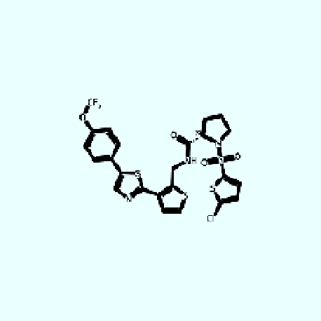 O=C(NCc1sccc1-c1ncc(-c2ccc(OC(F)(F)F)cc2)s1)[C@@H]1CCCN1S(=O)(=O)c1ccc(Cl)s1